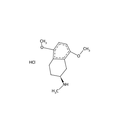 CN[C@H]1CCc2c(OC)ccc(OC)c2C1.Cl